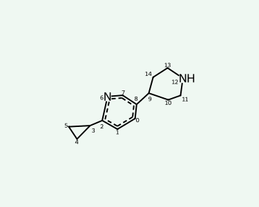 c1cc(C2CC2)ncc1C1CCNCC1